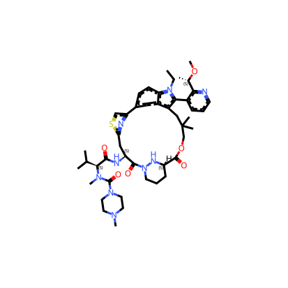 CCn1c(-c2cccnc2[C@H](C)OC)c2c3cc(ccc31)-c1csc(n1)C[C@H](NC(=O)[C@H](C(C)C)N(C)C(=O)N1CCN(C)CC1)C(=O)N1CCC[C@H](N1)C(=O)OCC(C)(C)C2